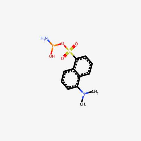 CN(C)c1cccc2c(S(=O)(=O)OP(N)O)cccc12